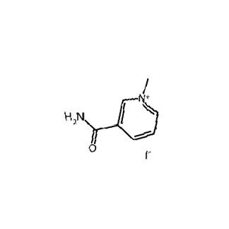 C[n+]1cccc(C(N)=O)c1.[I-]